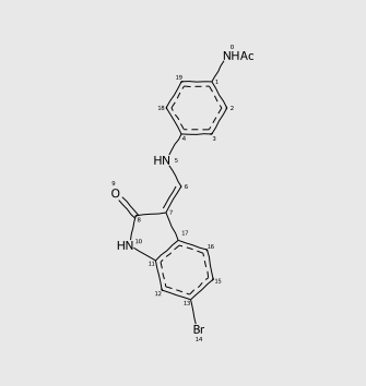 CC(=O)Nc1ccc(NC=C2C(=O)Nc3cc(Br)ccc32)cc1